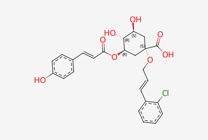 O=C(C=Cc1ccc(O)cc1)O[C@@H]1C[C@](OCC=Cc2ccccc2Cl)(C(=O)O)C[C@H](O)[C@H]1O